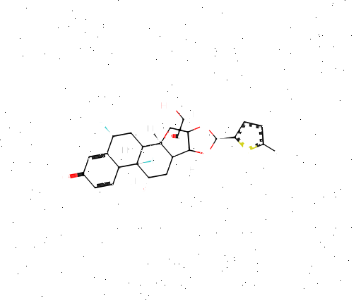 Cc1ccc([C@@H]2O[C@@H]3C[C@H]4[C@@H]5C[C@H](F)C6=CC(=O)C=C[C@]6(C)[C@@]5(F)[C@@H](O)C[C@]4(C)[C@]3(C(=O)CO)O2)s1